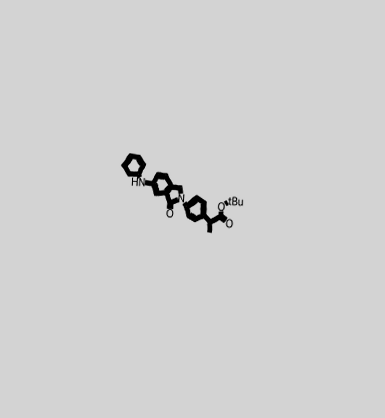 CC(C(=O)OC(C)(C)C)c1ccc(N2Cc3ccc(NC4C=CC=CC4)cc3C2=O)cc1